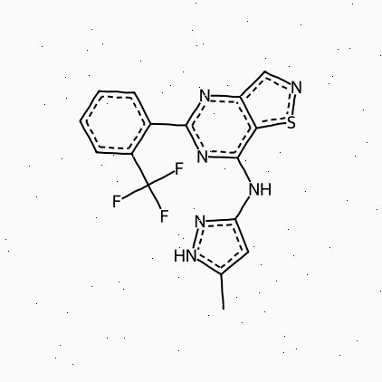 Cc1cc(Nc2nc(-c3ccccc3C(F)(F)F)nc3cnsc23)n[nH]1